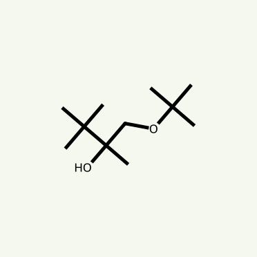 CC(C)(C)OCC(C)(O)C(C)(C)C